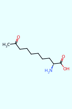 CC(=O)CCCCCC[C@H](N)C(=O)O